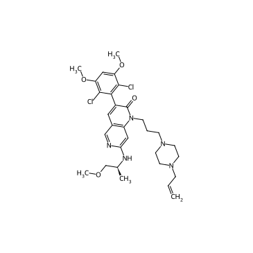 C=CCN1CCN(CCCn2c(=O)c(-c3c(Cl)c(OC)cc(OC)c3Cl)cc3cnc(N[C@@H](C)COC)cc32)CC1